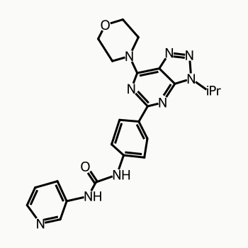 CC(C)n1nnc2c(N3CCOCC3)nc(-c3ccc(NC(=O)Nc4cccnc4)cc3)nc21